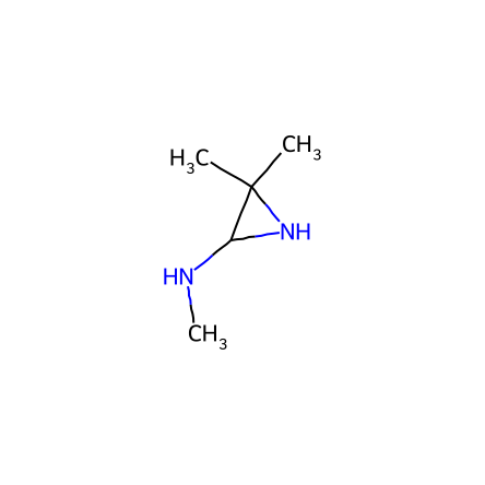 CNC1NC1(C)C